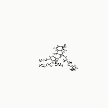 COc1cc(C=C2C(C)=C(CC(=O)NCc3ccn[nH]3)c3cc(F)ccc32)cc(OC)c1CC(=O)O